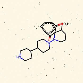 O=C(O)C1CCCN(N2CCC(C3CCNCC3)CC2)C12C(=O)c1ccc(cc1)C2=O